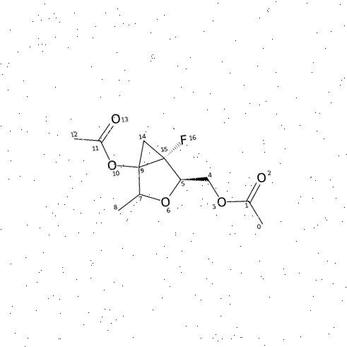 CC(=O)OC[C@H]1OC(C)C2(OC(C)=O)C[C@@]12F